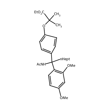 CCCCCCCC(NC(C)=O)(c1ccc(OC(C)(C)C(=O)OCC)cc1)c1ccc(OC)cc1OC